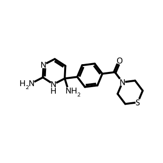 NC1=NC=CC(N)(c2ccc(C(=O)N3CCSCC3)cc2)N1